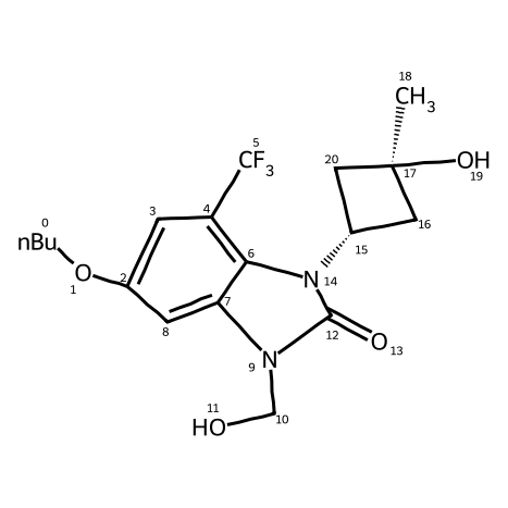 CCCCOc1cc(C(F)(F)F)c2c(c1)n(CO)c(=O)n2[C@H]1C[C@](C)(O)C1